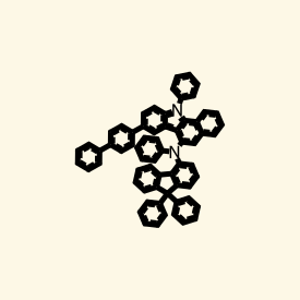 c1ccc(-c2ccc(-c3ccc4c(c3)c3c(N(c5ccccc5)c5cccc6c5-c5ccccc5C6(c5ccccc5)c5ccccc5)cc5ccccc5c3n4-c3ccccc3)cc2)cc1